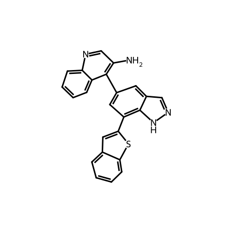 Nc1cnc2ccccc2c1-c1cc(-c2cc3ccccc3s2)c2[nH]ncc2c1